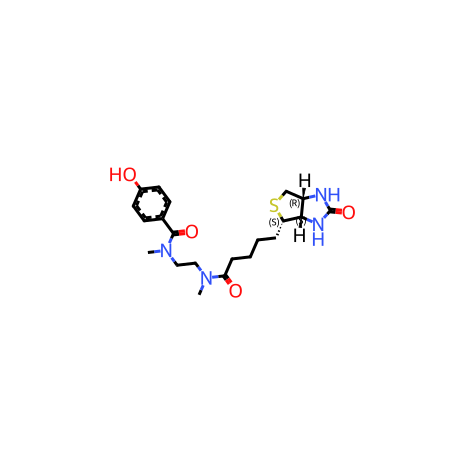 CN(CCN(C)C(=O)c1ccc(O)cc1)C(=O)CCCC[C@@H]1SC[C@@H]2NC(=O)N[C@@H]21